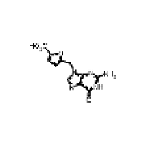 Nc1nc2c(ncn2Cc2ccc(C(=O)O)o2)c(=O)[nH]1